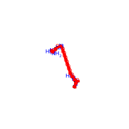 CCC(=O)N(c1ccc(/N=N/c2ccc(NC(=O)CCOCCOCCOCCOCCOCCOCCOCCOCCOCCOCCOCCOCCn3cc(CCC(=O)NCc4ccc(COc5nc(N)nc6[nH]cnc56)cc4)nn3)cc2)cc1)C1CCN(CCc2ccccc2)CC1